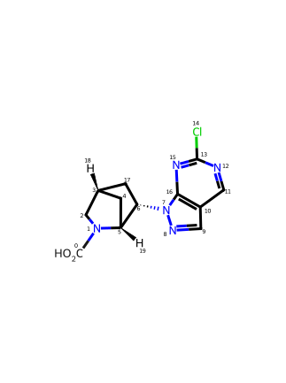 O=C(O)N1C[C@H]2C[C@@H]1[C@@H](n1ncc3cnc(Cl)nc31)C2